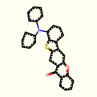 O=c1c2ccccc2oc2cc3c(cc12)sc1c(N(c2ccccc2)c2ccccc2)cccc13